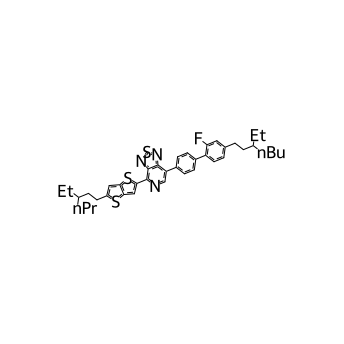 CCCCC(CC)CCc1ccc(-c2ccc(-c3cnc(-c4cc5sc(CCC(CC)CCC)cc5s4)c4nsnc34)cc2)c(F)c1